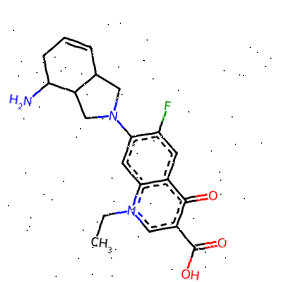 CCn1cc(C(=O)O)c(=O)c2cc(F)c(N3CC4C=CCC(N)C4C3)cc21